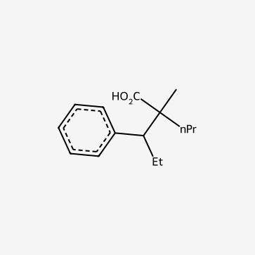 CCCC(C)(C(=O)O)C(CC)c1ccccc1